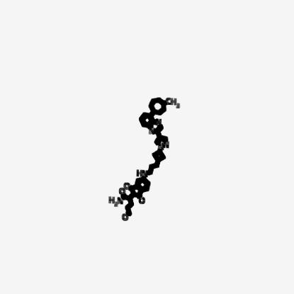 CC1CCCC(c2cccc3nc(-c4cnn(C5CC(CCCNc6ccc7c(c6)C(=O)C(C(CCC=O)C(N)=O)C7=O)C5)c4)cnc23)CC1